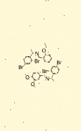 CCOc1ccccc1C=NC(C)c1ccc(Br)cc1Br.COc1ccc(C=NC(C)c2ccc(Br)cc2Br)cc1OC